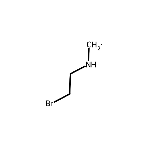 [CH2]NCCBr